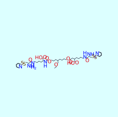 CCOCC(CCCCOC(=O)CC(CCCCNC(=O)C(N)CSSc1ccccn1)C(=O)O)CCCOC(=O)NC(CCCCNC(=O)C(N)CSSc1ccccn1)C(=O)O